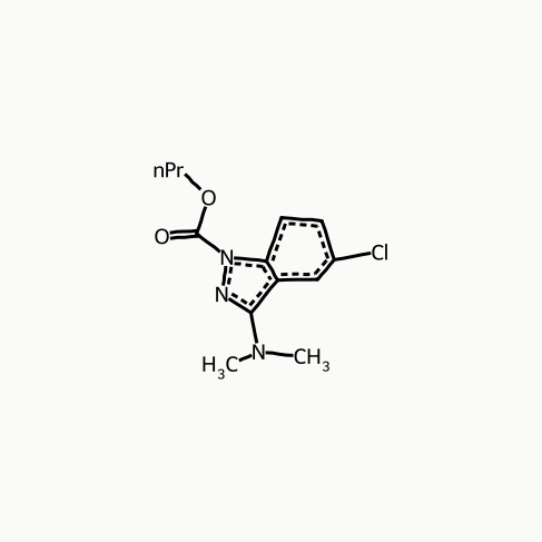 CCCOC(=O)n1nc(N(C)C)c2cc(Cl)ccc21